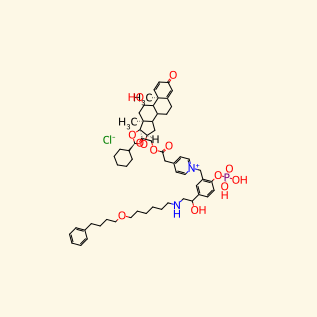 C[C@]12C=CC(=O)C=C1CCC1C2[C@@H](O)C[C@@]2(C)C1C[C@H]1O[C@@H](C3CCCCC3)O[C@]12C(=O)COC(=O)Cc1cc[n+](Cc2cc(C(O)CNCCCCCCOCCCCc3ccccc3)ccc2OP(=O)(O)O)cc1.[Cl-]